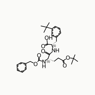 CC(C)(C)OC(=O)CC[C@H](NC(=O)OCc1ccccc1)C(=O)N[C@@H](Cc1cccc(C(C)(C)C)c1)C(=O)O